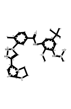 COc1c(NC(=O)c2ccc(C)c(N3C=C(c4cnc5n4CCS5)NN3)c2)cc(C(C)(C)C)cc1N[S+](C)[O-]